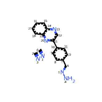 C#N.C#N.NN=Cc1ccc(-c2cnc3ccccc3n2)cc1